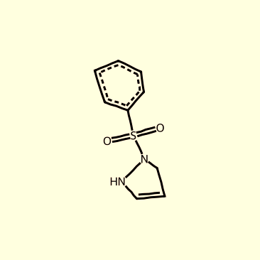 O=S(=O)(c1ccccc1)N1CC=CN1